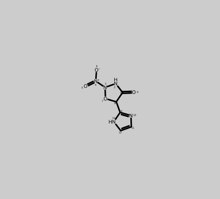 O=C1NN([N+](=O)[O-])OC1c1ncc[nH]1